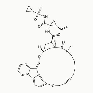 C=C[C@@H]1C[C@]1(NC(=O)[C@@H]1C[C@@H]2C[C@H]1C(=O)N(C)CCCC/C=C\COc1ccc3c(c1)/C(=N/O2)c1ccccc1-3)C(=O)NS(=O)(=O)C1CC1